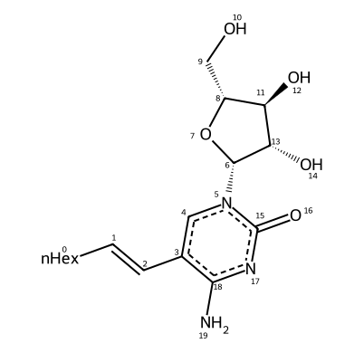 CCCCCCC=Cc1cn([C@@H]2O[C@H](CO)[C@@H](O)[C@@H]2O)c(=O)nc1N